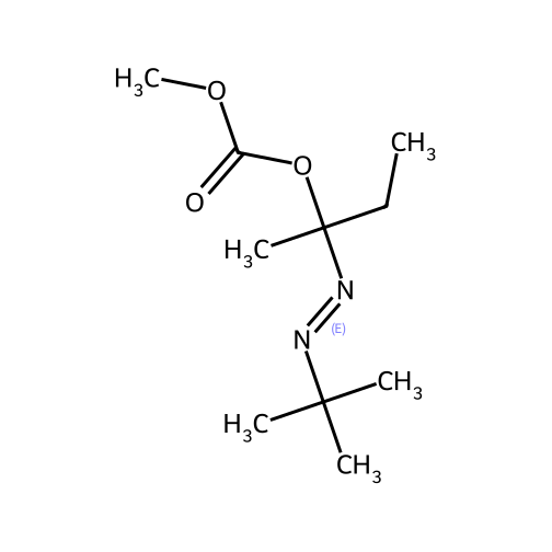 CCC(C)(/N=N/C(C)(C)C)OC(=O)OC